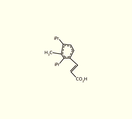 Cc1c(C(C)C)ccc(C=CC(=O)O)c1C(C)C